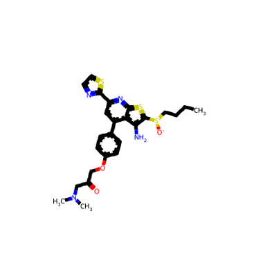 CCCC[S+]([O-])c1sc2nc(-c3nccs3)cc(-c3ccc(OCC(=O)CN(C)C)cc3)c2c1N